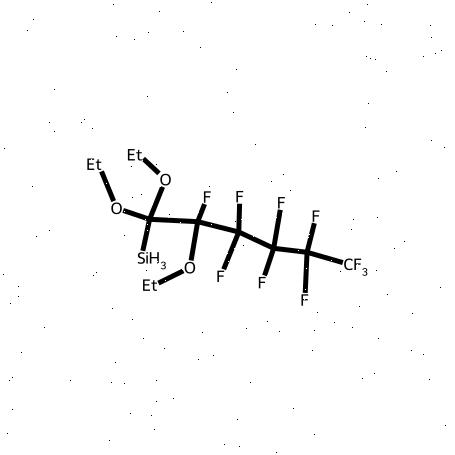 CCOC([SiH3])(OCC)C(F)(OCC)C(F)(F)C(F)(F)C(F)(F)C(F)(F)F